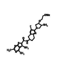 COCCOC1CN(c2nc3c(cc2F)CC(NC(=O)c2sc4nc(C)nc(C)c4c2N)CC3)CC1N